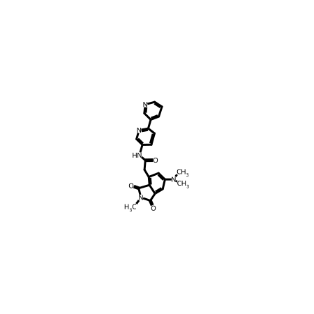 CN1C(=O)c2cc(N(C)C)cc(CC(=O)Nc3ccc(-c4cccnc4)nc3)c2C1=O